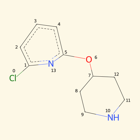 Clc1cccc(OC2CCNCC2)n1